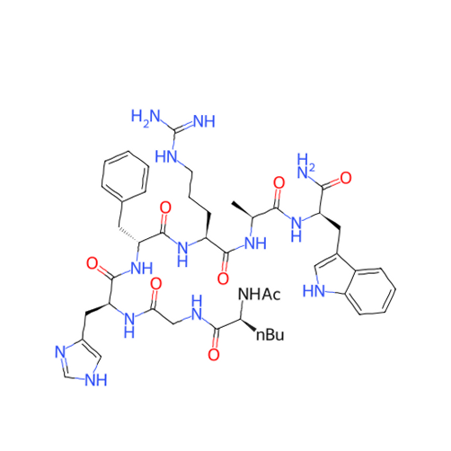 CCCC[C@H](NC(C)=O)C(=O)NCC(=O)N[C@@H](Cc1c[nH]cn1)C(=O)N[C@H](Cc1ccccc1)C(=O)N[C@@H](CCCNC(=N)N)C(=O)N[C@@H](C)C(=O)N[C@H](Cc1c[nH]c2ccccc12)C(N)=O